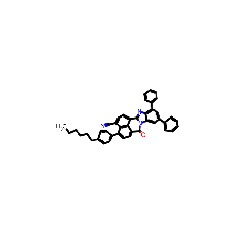 CCCCCCc1ccc(-c2ccc3c(=O)n4c5cc(-c6ccccc6)cc(-c6ccccc6)c5nc4c4ccc(C#N)c2c34)cc1